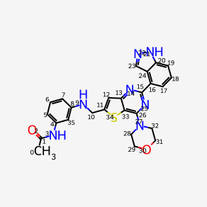 CC(=O)Nc1cccc(NCc2cc3nc(-c4cccc5[nH]ncc45)nc(N4CCOCC4)c3s2)c1